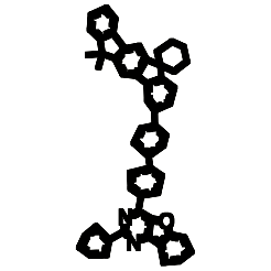 CC1(C)c2ccccc2-c2cc3c(cc21)-c1cc(-c2ccc(-c4ccc(-c5nc(-c6ccccc6)nc6c5oc5ccccc56)cc4)cc2)ccc1C31CCCCC1